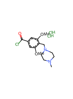 COc1cc(C(=O)Cl)cc(OC)c1CN1CCN(C)CC1.Cl.Cl